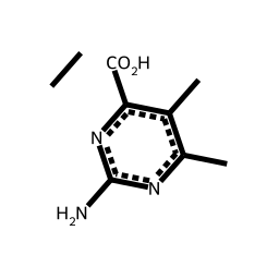 CC.Cc1nc(N)nc(C(=O)O)c1C